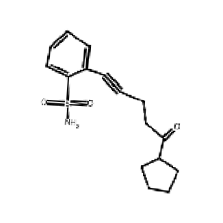 NS(=O)(=O)c1ccccc1C#CCCC(=O)C1CCCC1